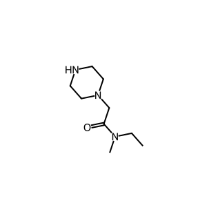 CCN(C)C(=O)CN1CCNCC1